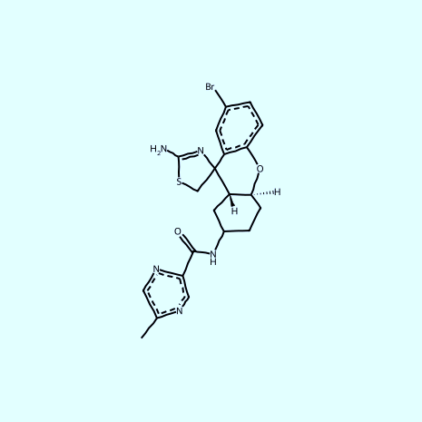 Cc1cnc(C(=O)NC2CC[C@@H]3Oc4ccc(Br)cc4C4(CSC(N)=N4)[C@H]3C2)cn1